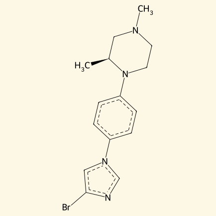 C[C@H]1CN(C)CCN1c1ccc(-n2cnc(Br)c2)cc1